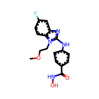 COCCn1c(Nc2ccc(C(=O)NO)cc2)nc2cc(F)ccc21